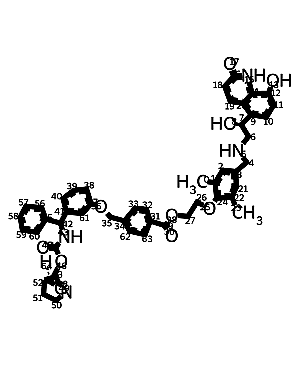 Cc1cc(CNC[C@@H](O)c2ccc(O)c3[nH]c(=O)ccc23)cc(C)c1OCCOC(=O)c1ccc(COc2cccc(C(NC(=O)O[C@H]3CN4CCC3CC4)c3ccccc3)c2)cc1